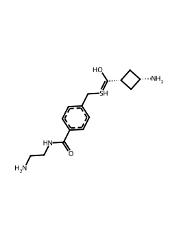 NCCNC(=O)c1ccc(C[SH]=C(O)[C@H]2C[C@@H](N)C2)cc1